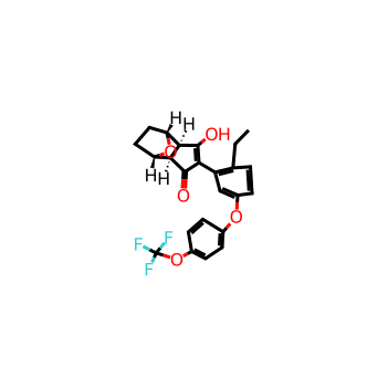 CCc1ccc(Oc2ccc(OC(F)(F)F)cc2)cc1C1=C(O)[C@H]2[C@@H](C1=O)[C@@H]1CC[C@H]2O1